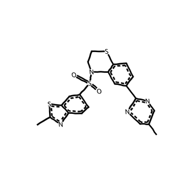 Cc1cnc(-c2ccc3c(c2)N(S(=O)(=O)c2ccc4nc(C)sc4c2)CCS3)nc1